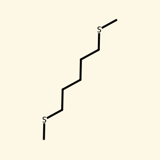 CSCCCCCSC